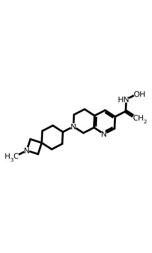 C=C(NO)c1cnc2c(c1)CCN(C1CCC3(CC1)CN(C)C3)C2